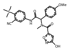 COc1ccc(C(C(=O)Nc2ccc(S(C)(C)C)c(C#N)c2)N(C)C(=O)c2cc(O)no2)cc1